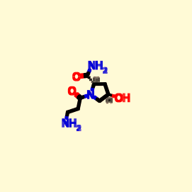 NCCC(=O)N1C[C@H](O)C[C@H]1C(N)=O